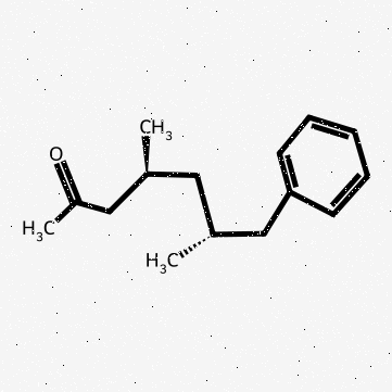 CC(=O)C[C@@H](C)C[C@@H](C)Cc1ccccc1